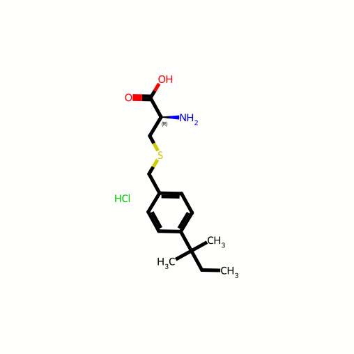 CCC(C)(C)c1ccc(CSC[C@H](N)C(=O)O)cc1.Cl